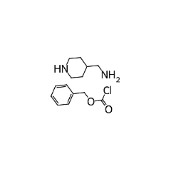 NCC1CCNCC1.O=C(Cl)OCc1ccccc1